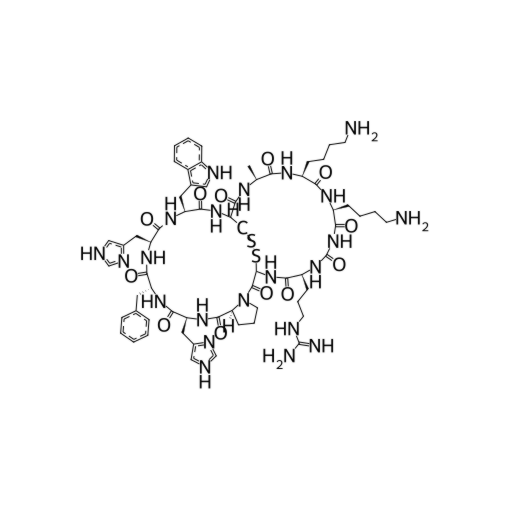 C[C@@H]1NC(=O)[C@@H]2CSSC(NC(=O)[C@H](CCCNC(=N)N)NC(=O)NC(=O)[C@H](CCCCN)NC(=O)[C@H](CCCCN)NC1=O)C(=O)N1CCC[C@H]1C(=O)N[C@@H](Cc1c[nH]cn1)C(=O)N[C@H](Cc1ccccc1)C(=O)N[C@@H](Cc1c[nH]cn1)C(=O)N[C@@H](Cc1c[nH]c3ccccc13)C(=O)N2